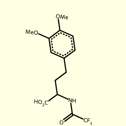 COc1ccc(CCC(NC(=O)C(F)(F)F)C(=O)O)cc1OC